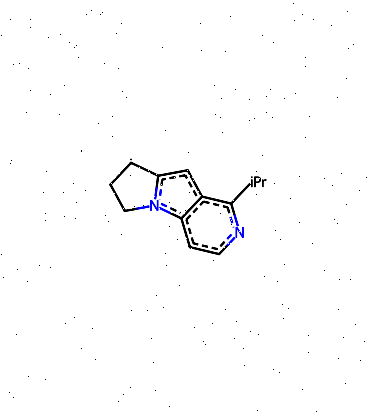 CC(C)c1nccc2c1cc1n2CC[CH]1